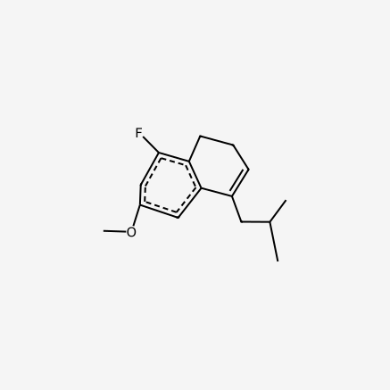 COc1cc(F)c2c(c1)C(CC(C)C)=CCC2